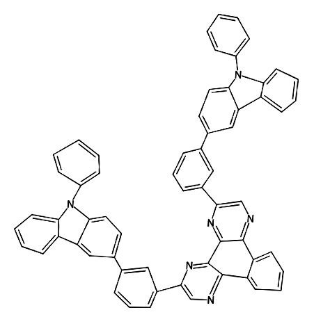 c1ccc(-n2c3ccccc3c3cc(-c4cccc(-c5cnc6c7ccccc7c7ncc(-c8cccc(-c9ccc%10c(c9)c9ccccc9n%10-c9ccccc9)c8)nc7c6n5)c4)ccc32)cc1